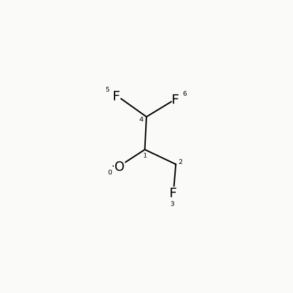 [O]C(CF)C(F)F